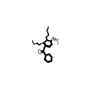 CCCCc1c(N)ccc(C(=O)c2ccccc2)c1CCCC